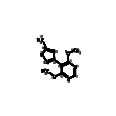 COc1ncnc(OC)c1-c1noc(C)n1